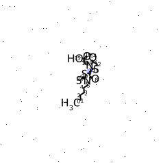 CCCCCCN1C(=O)/C(=C2\SCC(=O)N2CC(=O)O)SC1=S